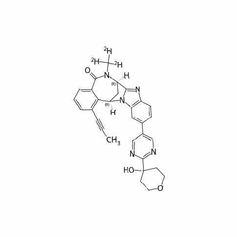 [2H]C([2H])([2H])N1C(=O)c2cccc(C#CC)c2[C@H]2C[C@@H]1c1nc3ccc(-c4cnc(C5(O)CCOCC5)nc4)cc3n12